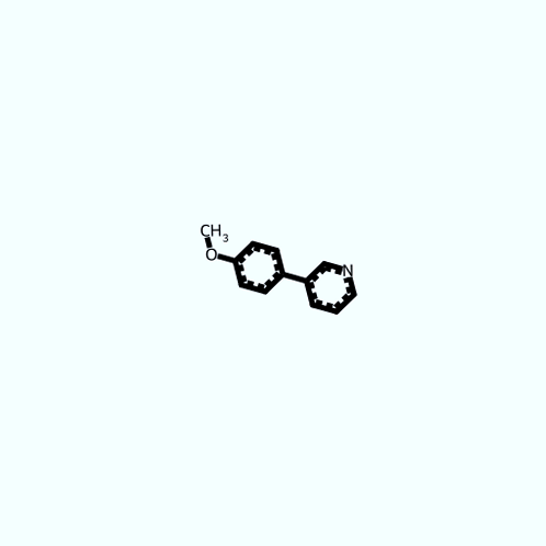 COc1ccc(-c2cccnc2)cc1